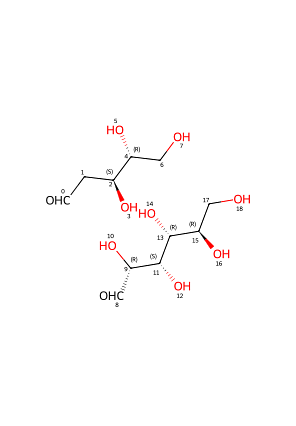 O=CC[C@H](O)[C@H](O)CO.O=C[C@H](O)[C@@H](O)[C@H](O)[C@H](O)CO